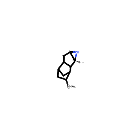 CC(=O)NC1CC2CC1C1C2CC2N[C@H]21